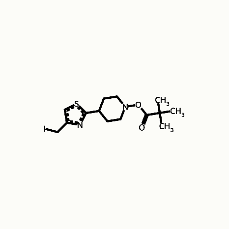 CC(C)(C)C(=O)ON1CCC(c2nc(CI)cs2)CC1